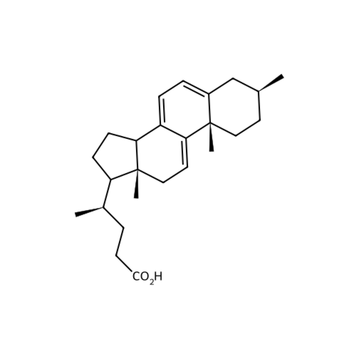 C[C@H]1CC[C@@]2(C)C(=CC=C3C2=CC[C@@]2(C)C3CCC2[C@H](C)CCC(=O)O)C1